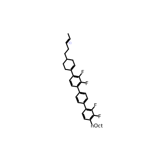 C/C=C/CCC1CC=C(c2ccc(-c3ccc(-c4ccc(CCCCCCCC)c(F)c4F)cc3)c(F)c2F)CC1